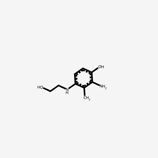 Cc1c(NCCO)ccc(O)c1N